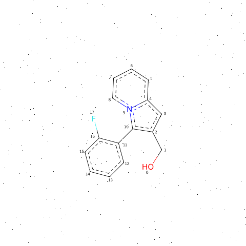 OCc1cc2ccccn2c1-c1ccccc1F